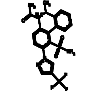 CC(C)c1ccccc1-c1c(CC(N)=O)ccc(-n2cc(C(F)(F)F)cn2)c1S(N)(=O)=O